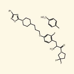 CC(C)c1noc(N2CCC(CCCOc3ccc(CC(N)C(=O)N4CCC(F)(F)C4)c(F)c3)CC2)n1.Cc1ccc(S(=O)(=O)O)cc1